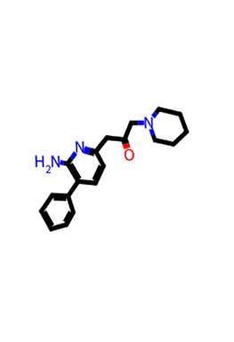 Nc1nc(CC(=O)CN2CCCCC2)ccc1-c1ccccc1